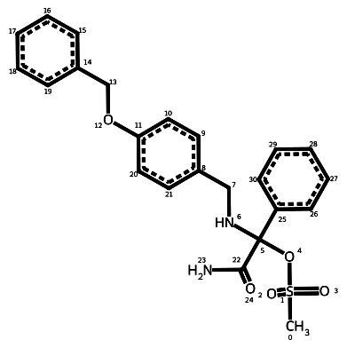 CS(=O)(=O)OC(NCc1ccc(OCc2ccccc2)cc1)(C(N)=O)c1ccccc1